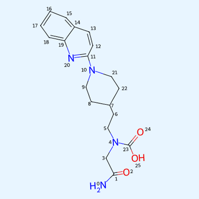 NC(=O)CN(CCC1CCN(c2ccc3ccccc3n2)CC1)C(=O)O